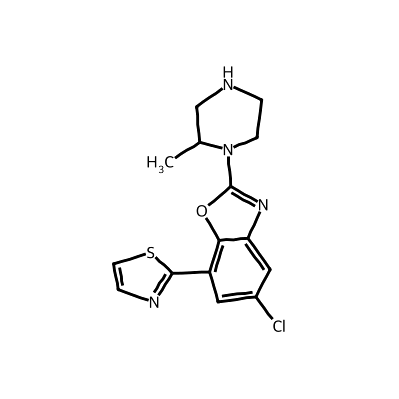 CC1CNCCN1c1nc2cc(Cl)cc(-c3nccs3)c2o1